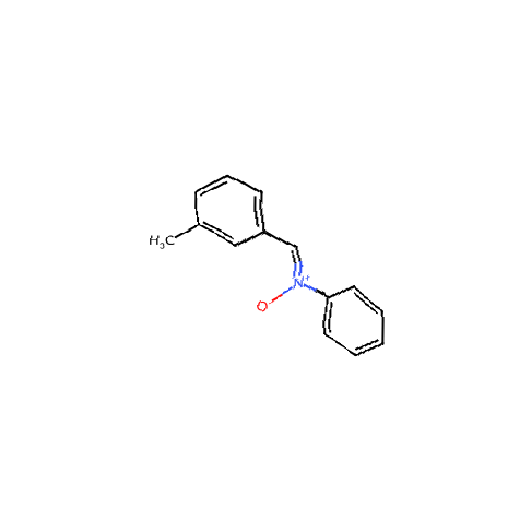 Cc1cccc(C=[N+]([O-])c2ccccc2)c1